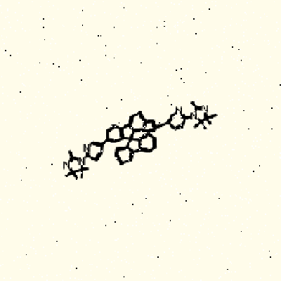 CC1=NC(C)(C)C(C)(C)N1c1ccc(-c2ccc3c(c2)C2(c4ccccc4-c4ccccc42)c2c-3ccc3cc(-c4ccc(N5C(C)=NC(C)(C)C5(C)C)nc4)ccc23)cn1